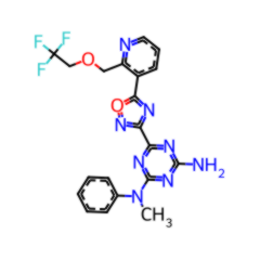 CN(c1ccccc1)c1nc(N)nc(-c2noc(-c3cccnc3COCC(F)(F)F)n2)n1